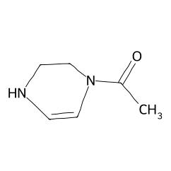 CC(=O)N1C=CNCC1